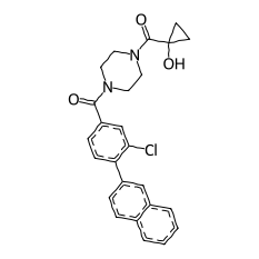 O=C(c1ccc(-c2ccc3ccccc3c2)c(Cl)c1)N1CCN(C(=O)C2(O)CC2)CC1